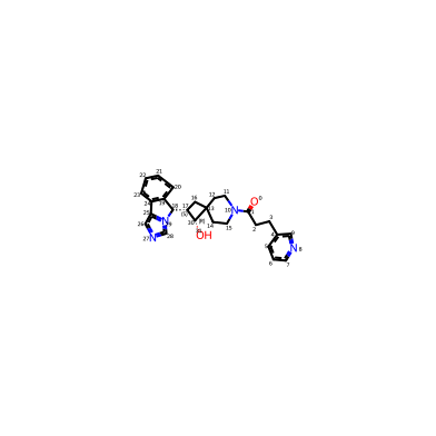 O=C(CCc1cccnc1)N1CCC2(CC1)C[C@@H](C1c3ccccc3-c3cncn31)[C@H]2O